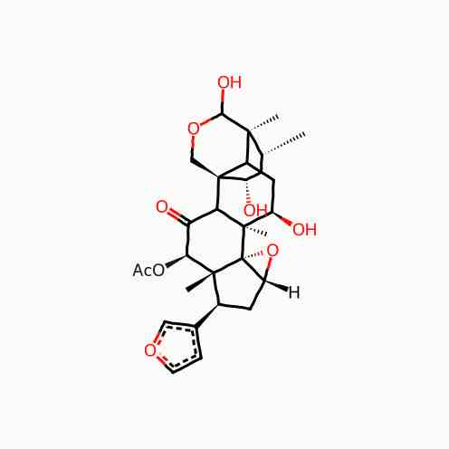 CC(=O)O[C@H]1C(=O)C2[C@]34COC(O)[C@](C)(C3C[C@@H](O)[C@@]2(C)[C@@]23O[C@@H]2C[C@@H](c2ccoc2)[C@]13C)[C@H](C)C[C@@H]4O